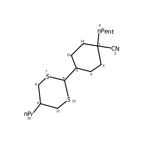 CCCCCC1(C#N)CCC(C2SCC(CCC)CS2)CC1